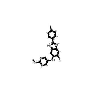 CNc1ncc(Nc2cc3[nH]c(-c4ccc(C)cc4)nc3cc2F)cn1